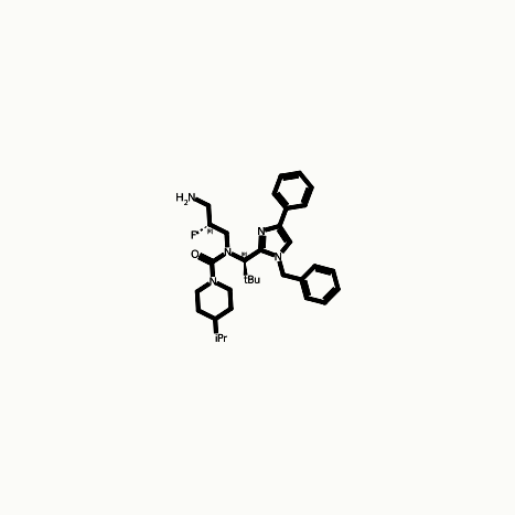 CC(C)C1CCN(C(=O)N(C[C@H](F)CN)[C@@H](c2nc(-c3ccccc3)cn2Cc2ccccc2)C(C)(C)C)CC1